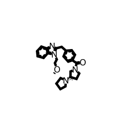 COCCn1c(Cc2ccc(C(=O)N3CC[C@H](N4CCCC4)C3)cc2)nc2ccccc21